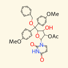 COc1ccc(C(OCc2ccccc2)(c2ccc(OC)cc2)C2OC(n3ccc(=O)[nH]c3=O)C(OC(C)=O)C2O)cc1